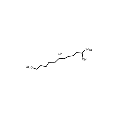 CCCCCCC(O)CCCCCCCCCCC(=O)[O-].[Li+]